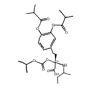 CCC(C)N[C@@](Cc1ccc(OC(=O)C(C)C)c(OC(=O)C(C)C)c1)(OC(=O)OC(C)C)C(=O)O